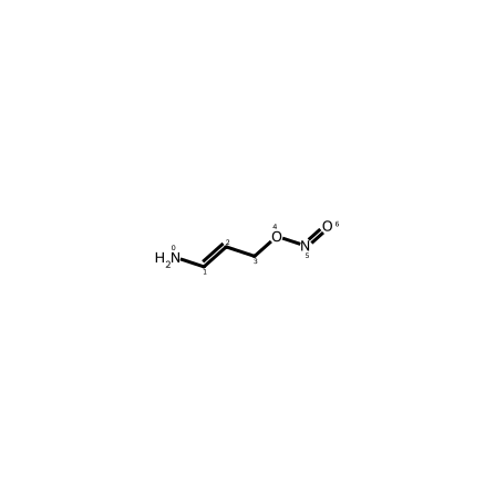 NC=CCON=O